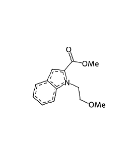 COCCn1c(C(=O)OC)cc2ccccc21